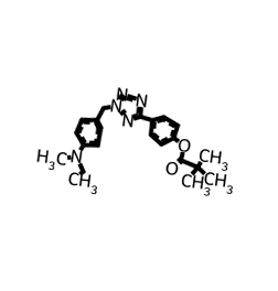 CCN(C)c1ccc(Cn2nnc(-c3ccc(OC(=O)C(C)(C)C)cc3)n2)cc1